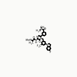 CNC(C)C(=O)Nc1ncc(-c2cccc(C(=O)N(C)C)c2)n(Cc2cc(N3CCc4cc(F)ccc43)cc(C(F)(F)F)c2)c1=O